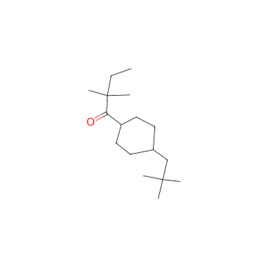 CCC(C)(C)C(=O)C1CCC(CC(C)(C)C)CC1